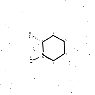 Cl[C@@H]1CCCC[C@@H]1Cl